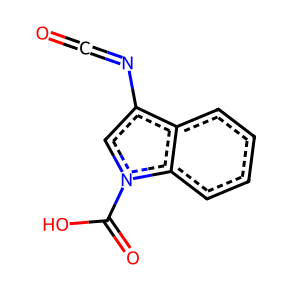 O=C=Nc1cn(C(=O)O)c2ccccc12